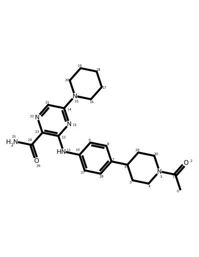 CC(=O)N1CCC(c2ccc(Nc3nc(N4CCCCC4)cnc3C(N)=O)cc2)CC1